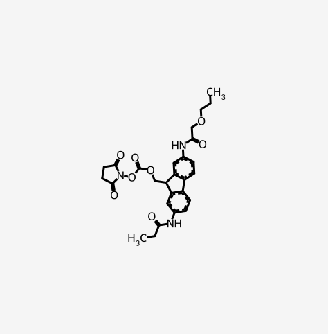 CCCOCC(=O)Nc1ccc2c(c1)C(COC(=O)ON1C(=O)CCC1=O)c1cc(NC(=O)CC)ccc1-2